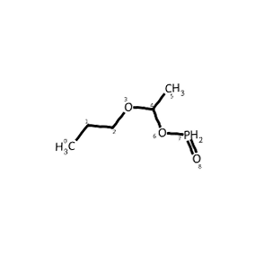 CCCOC(C)O[PH2]=O